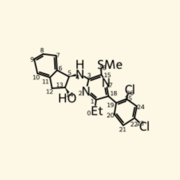 CCc1nc(N[C@@H]2c3ccccc3C[C@@H]2O)c(SC)nc1-c1ccc(Cl)cc1Cl